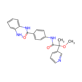 COC(C)(C(=O)Nc1ccc(C(=O)Nc2ccccc2N)cc1)c1cccnc1